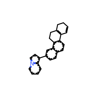 C1=CC2=C(CC1)CCc1c2ccc2ccc(-c3ccn4ccccc34)cc12